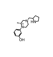 C[C@H]1CN(CC2CCCN2)CCN1c1cccc(O)c1